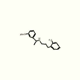 COc1cccc(C(C)NCCCc2ccccc2C(F)(F)F)c1